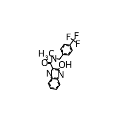 CN(Cc1ccc(C(F)(F)F)cc1)C(=O)c1nc2ccccc2nc1O